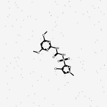 COc1cc(OC)nc(NC(=O)NS(=O)(=O)c2nn(C)cc2Cl)n1